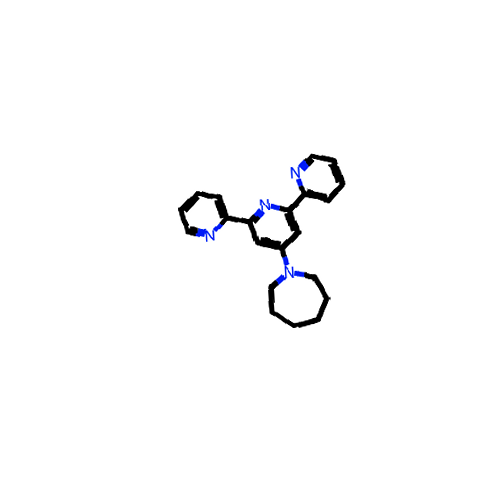 c1ccc(-c2cc(N3CCCCCC3)cc(-c3ccccn3)n2)nc1